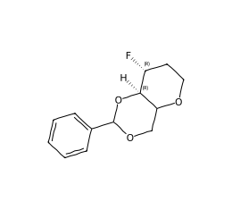 F[C@@H]1CCOC2COC(c3ccccc3)O[C@H]21